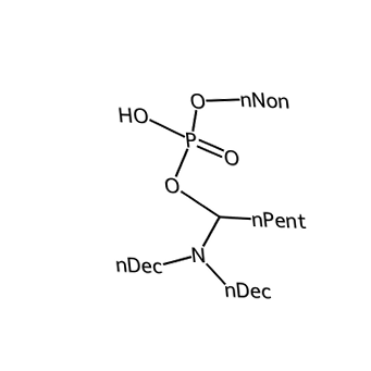 CCCCCCCCCCN(CCCCCCCCCC)C(CCCCC)OP(=O)(O)OCCCCCCCCC